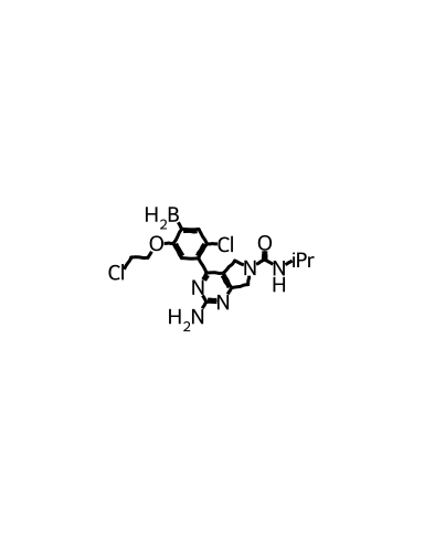 Bc1cc(Cl)c(-c2nc(N)nc3c2CN(C(=O)NC(C)C)C3)cc1OCCCl